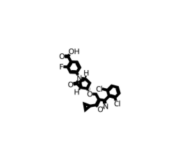 O=C(O)c1ccc(N2C(=O)[C@@H]3C[C@H]2C[C@H]3OCc2c(-c3c(Cl)cccc3Cl)noc2C2CC2)cc1F